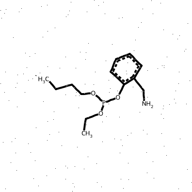 CCCCOP(OCC)Oc1ccccc1CN